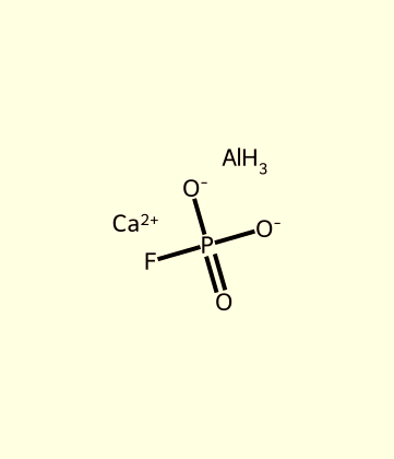 O=P([O-])([O-])F.[AlH3].[Ca+2]